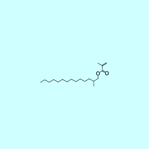 C=C(C)C(=O)OCC(C)CCCCCCCCCCCC